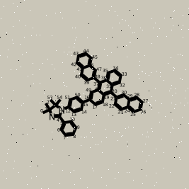 CC1(C)N=C(c2ccccc2)N(c2ccc(-c3ccc4c(-c5ccc6ccccc6c5)c5ccccc5c(-c5ccc6ccccc6c5)c4c3)cc2)C1(C)C